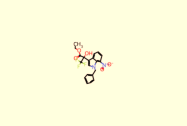 CCOC(=O)C(O)(c1cn(Cc2ccccc2)c2c([N+](=O)[O-])cccc12)C(F)(F)F